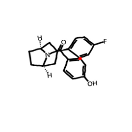 O=C(c1ccc(O)cc1)N1[C@@H]2CC[C@H]1C[C@@H](c1ccc(F)cc1)C2